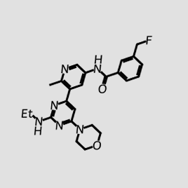 CCNc1nc(-c2cc(NC(=O)c3cccc(CF)c3)cnc2C)cc(N2CCOCC2)n1